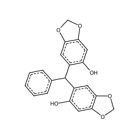 Oc1cc2c(cc1C(c1ccccc1)c1cc3c(cc1O)OCO3)OCO2